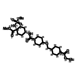 CCCCS(=O)(=O)N[C@]1(C(=O)OC)CC[C@H](NC(=O)N2CCC(OCC3CCN(C(=O)OC(C)(C)C)CC3)CC2)CC1